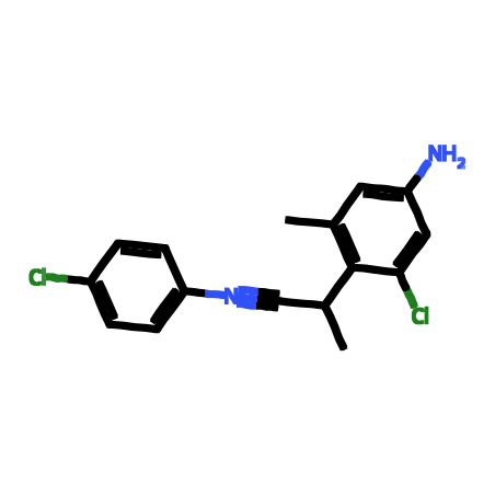 Cc1cc(N)cc(Cl)c1C(C)C#[N+]c1ccc(Cl)cc1